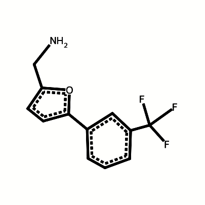 NCc1ccc(-c2cccc(C(F)(F)F)c2)o1